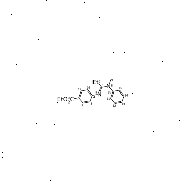 CCOC(=O)c1ccc(N=C(CC)N(C)c2ccccc2)cc1